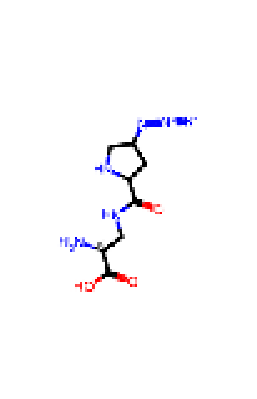 [N-]=[N+]=NC1CNC(C(=O)NC[C@H](N)C(=O)O)C1